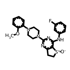 COc1ccccc1N1CCN(c2nc3c(c(Nc4cccc(F)c4)n2)[S+]([O-])CC3)CC1